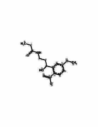 CCC(=O)NCCC(O)c1cc(OC)ccc1[N+](=O)[O-]